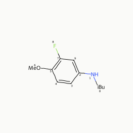 CCC(C)Nc1ccc(OC)c(F)c1